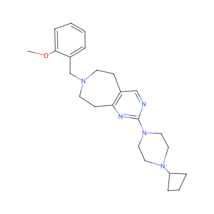 COc1ccccc1CN1CCc2cnc(N3CCN(C4CCC4)CC3)nc2CC1